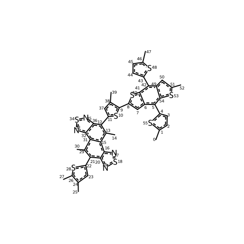 Cc1ccc(-c2c3cc(-c4sc(-c5c(C)c6c7nsnc7c(-c7cc(C)c(C)s7)c(C)c6c6nsnc56)cc4C)sc3c(-c3ccc(C)s3)c3cc(C)sc23)s1